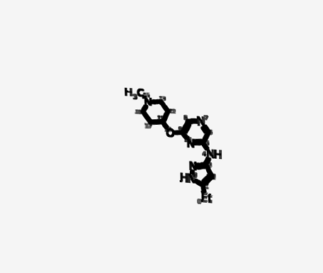 CCc1cc(Nc2cncc(OC3CCN(C)CC3)n2)n[nH]1